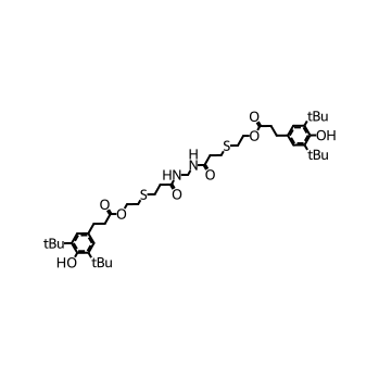 CC(C)(C)c1cc(CCC(=O)OCCSCCC(=O)NCNC(=O)CCSCCOC(=O)CCc2cc(C(C)(C)C)c(O)c(C(C)(C)C)c2)cc(C(C)(C)C)c1O